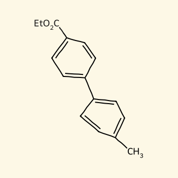 CCOC(=O)c1ccc(-c2ccc(C)cc2)cc1